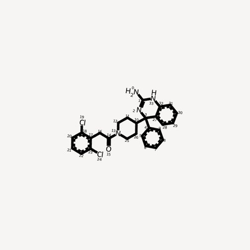 NC1=NC(c2ccccc2)(C2CCN(C(=O)Cc3c(Cl)cccc3Cl)CC2)c2ccccc2N1